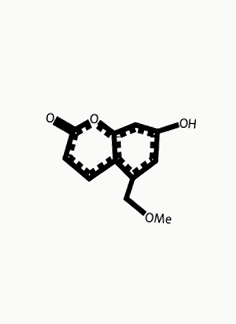 COCc1cc(O)cc2oc(=O)ccc12